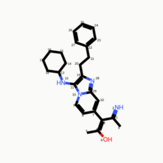 CC(=N)/C(=C(/C)O)c1ccn2c(NC3CCCCC3)c(CCc3ccccc3)nc2c1